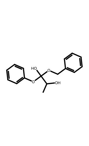 CC(O)C(O)(OCc1ccccc1)Oc1ccccc1